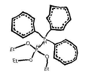 CCO[PH](OCC)(OCC)[PH](c1ccccc1)(c1ccccc1)c1ccccc1